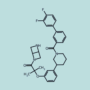 CC(C)(Oc1cccc(C2CCCN(C(=O)c3cccc(-c4ccc(F)c(F)c4)c3)C2)c1)C(=O)N1CC2NCC21